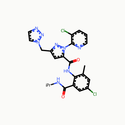 Cc1cc(Cl)cc(C(=O)NC(C)C)c1NC(=O)c1cc(Cn2ccnn2)nn1-c1ncccc1Cl